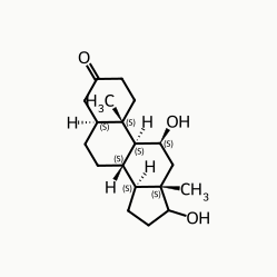 C[C@]12CCC(=O)C[C@@H]1CC[C@@H]1[C@@H]2[C@@H](O)C[C@]2(C)C(O)CC[C@@H]12